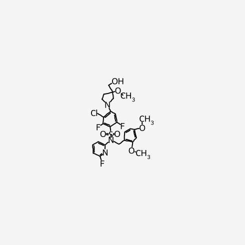 COc1ccc(CN(c2cccc(F)n2)S(=O)(=O)c2c(F)cc(N3CCC(CO)(OC)C3)c(Cl)c2F)c(OC)c1